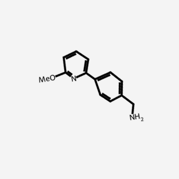 COc1cccc(-c2ccc(CN)cc2)n1